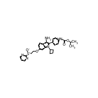 CC(C)OC(=O)Nc1ccc(-c2c(N)c3ccc(OCC[S+]([O-])c4ncccn4)cc3n2C2CCC2)cc1